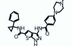 CN1CCN(c2ccc(C(=O)Nc3n[nH]c4sc(C(=O)NC5(c6ccccc6)CC5)cc34)cc2)CC1